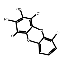 Oc1c(O)c(Cl)c2c(c1Cl)Oc1cccc(Cl)c1O2